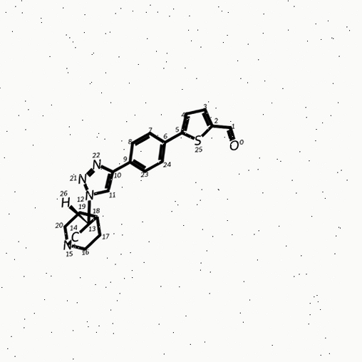 O=Cc1ccc(-c2ccc(-c3cn([C@H]4CN5CCC4CC5)nn3)cc2)s1